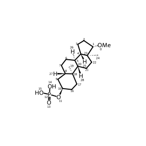 CO[C@H]1CC[C@H]2[C@@H]3CC[C@H]4C[C@H](OP(=O)(O)O)CC[C@]4(C)[C@H]3CC[C@]12C